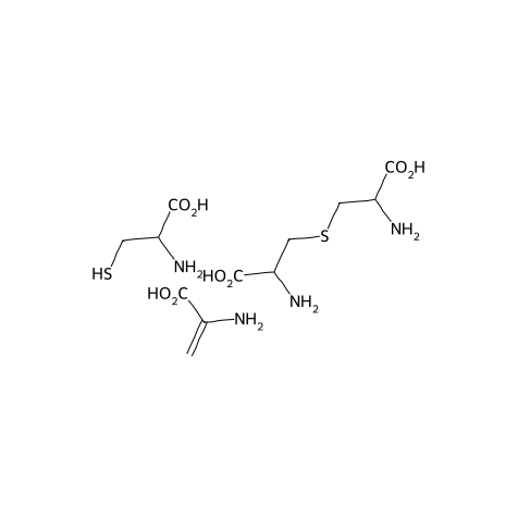 C=C(N)C(=O)O.NC(CS)C(=O)O.NC(CSCC(N)C(=O)O)C(=O)O